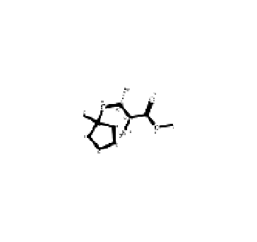 COC(=O)[C@@H](N)[C@@H](C)OC1(C)CCCC1